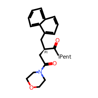 CCCC(C)C(=O)[C@@H](CC(=O)N1CCOCC1)Cc1cccc2ccccc12